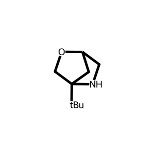 CC(C)(C)C12COC(CN1)C2